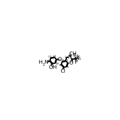 CN(Cc1ccc(Cl)cc1Oc1ccc(N)c(O)c1)C(=O)C(F)(F)F